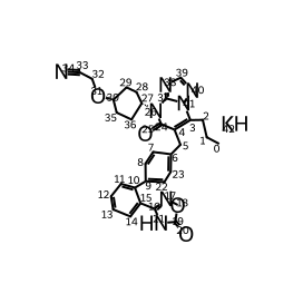 CCCc1c(Cc2ccc(-c3ccccc3-c3noc(=O)[nH]3)cc2)c(=O)n([C@H]2CC[C@H](OCC#N)CC2)c2ncnn12.[KH]